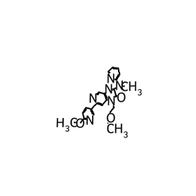 CCOCCn1c(=O)c(N(C)c2ccccn2)nc2cnc(-c3ccc(OC)nc3)cc21